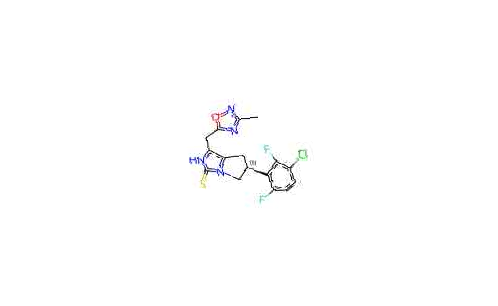 Cc1noc(Cc2[nH]c(=S)n3c2C[C@@H](c2c(F)ccc(Cl)c2F)C3)n1